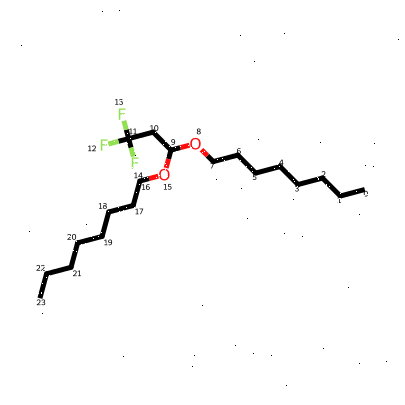 CCCCCCCCOC(CC(F)(F)F)OCCCCCCCC